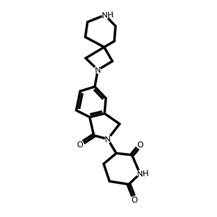 O=C1CCC(N2Cc3cc(N4CC5(CCNCC5)C4)ccc3C2=O)C(=O)N1